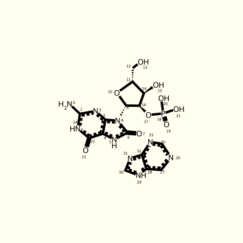 Nc1nc2c([nH]c(=O)n2[C@@H]2O[C@H](CO)[C@@H](O)[C@H]2OP(=O)(O)O)c(=O)[nH]1.c1ncc2[nH]cnc2n1